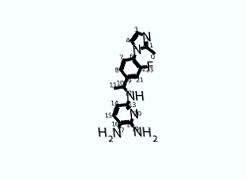 Cc1nccn1-c1ccc(C(C)Nc2ccc(N)c(N)n2)cc1F